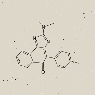 Cc1ccc(C2=C3N=C(N(C)C)N=C3c3ccccc3C2=O)cc1